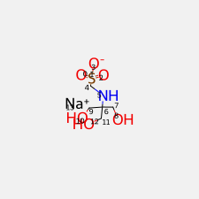 O=S(=O)([O-])CNC(CO)(CO)CO.[Na+]